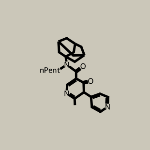 CCCCCN(C(=O)C1=CN=C(C)C(c2ccncc2)C1=O)C12CC3CC(CC(C3)C1)C2